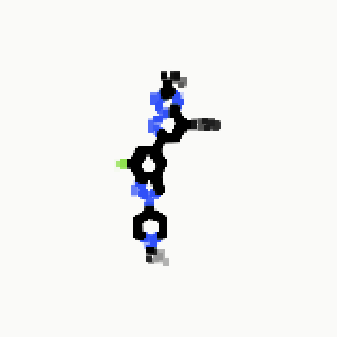 COc1cc(-c2cc(F)c3nn(C4CCN(C)CC4)cc3c2)nn2nc(C)nc12